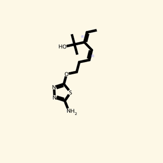 C/C=C(\C=C/CCOc1nnc(N)s1)C(C)(C)O